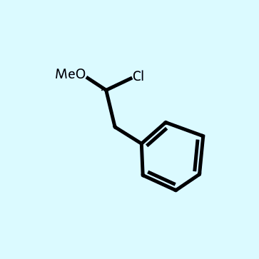 CO[C](Cl)Cc1ccccc1